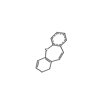 C1=CC2=C(C=Cc3ccccc3S2)CC1